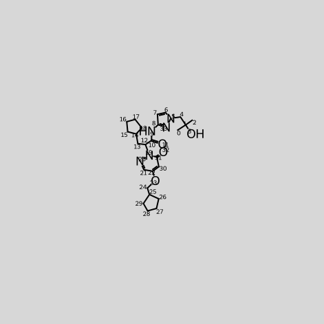 CC(C)(O)Cn1ccc(NC(=O)C(CC2CCCC2)n2ncc(OCC3CCCC3)cc2=O)n1